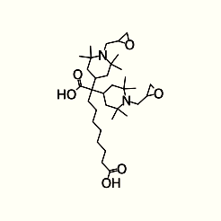 CC1(C)CC(C(CCCCCCCC(=O)O)(C(=O)O)C2CC(C)(C)N(CC3CO3)C(C)(C)C2)CC(C)(C)N1CC1CO1